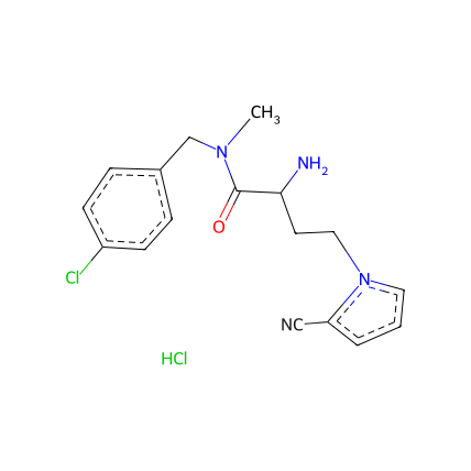 CN(Cc1ccc(Cl)cc1)C(=O)C(N)CCn1cccc1C#N.Cl